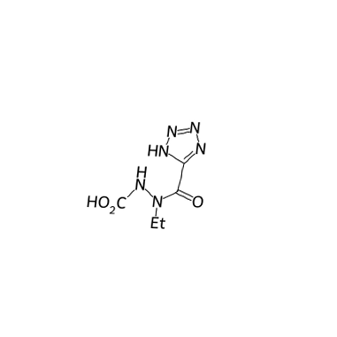 CCN(NC(=O)O)C(=O)c1nnn[nH]1